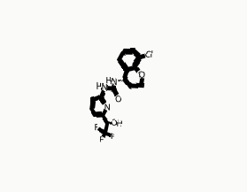 O=C(Nc1cccc([C@@H](O)C(F)(F)F)n1)N[C@H]1CCOc2c(Cl)cccc21